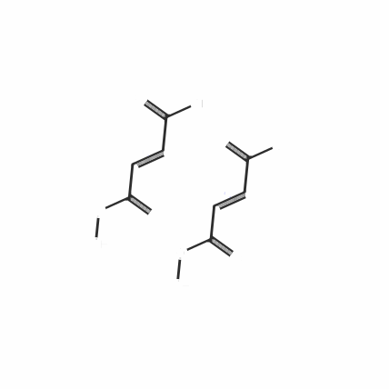 COC(=O)/C=C/C(C)=O.COC(=O)/C=C/C(C)=O